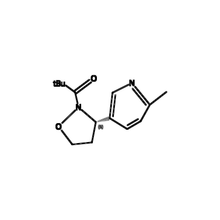 Cc1ccc([C@@H]2CCON2C(=O)C(C)(C)C)cn1